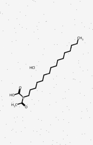 CCCCCCCCCCCCCCCCN(C(C)=O)C(=O)O.Cl